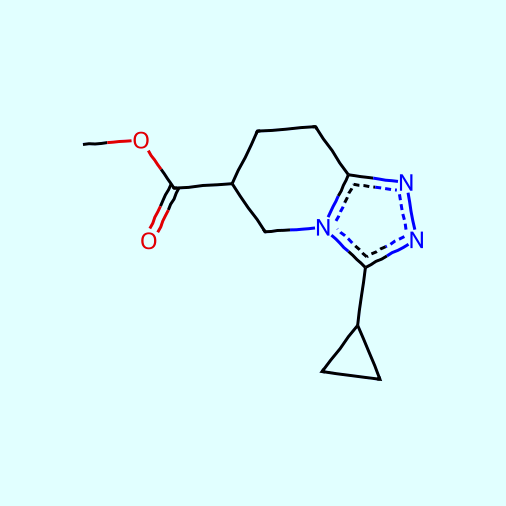 COC(=O)C1CCc2nnc(C3CC3)n2C1